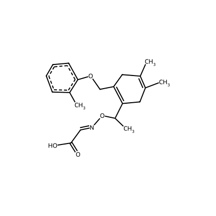 CC1=C(C)CC(C(C)ON=CC(=O)O)=C(COc2ccccc2C)C1